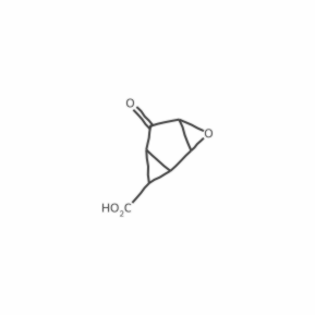 O=C(O)C1C2C(=O)C3OC3C12